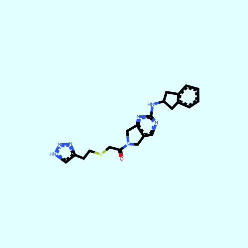 O=C(CSCCc1c[nH]nn1)N1Cc2cnc(NC3Cc4ccccc4C3)nc2C1